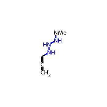 C=C=CNNNNC